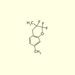 Cc1ccc2c(c1)OC(F)(F)C(C)(F)C2